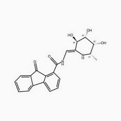 C[C@@H]1NC(=CNC(=O)c2cccc3c2C(=O)c2ccccc2-3)[C@@H](O)[C@H](O)[C@@H]1O